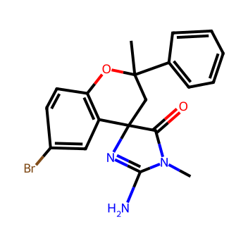 CN1C(=O)C2(CC(C)(c3ccccc3)Oc3ccc(Br)cc32)N=C1N